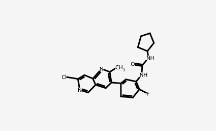 Cc1nc2cc(Cl)ncc2cc1-c1ccc(F)c(NC(=O)NC2CCCC2)c1